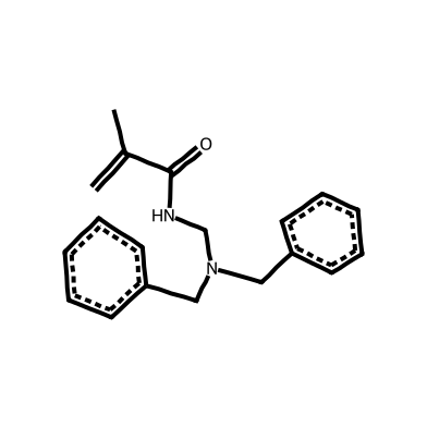 C=C(C)C(=O)NCN(Cc1ccccc1)Cc1ccccc1